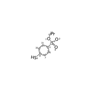 CC(C)OS(=O)(=O)c1ccc(S)cc1